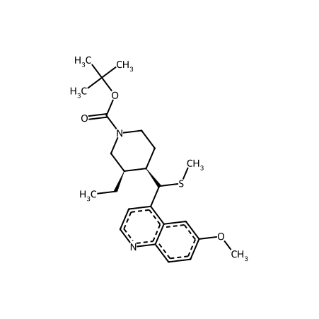 CC[C@H]1CN(C(=O)OC(C)(C)C)CC[C@H]1C(SC)c1ccnc2ccc(OC)cc12